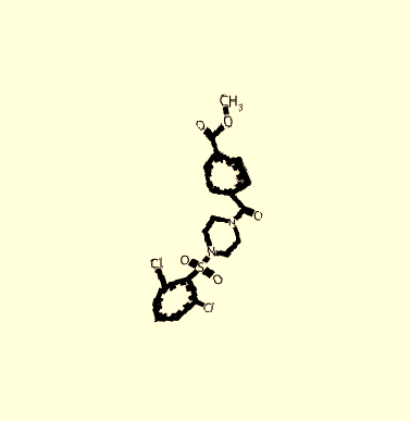 COC(=O)c1ccc(C(=O)N2CCN(S(=O)(=O)c3c(Cl)cccc3Cl)CC2)cc1